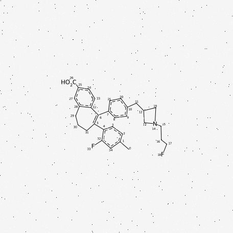 Cc1ccc(C2=C(c3ccc(CC4CN(CCCF)C4)cc3)c3ccc(C(=O)O)cc3CCC2)c(F)c1